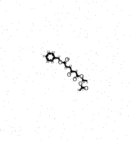 CC(=O)OC(C)OC(=O)CC(=O)CCC(=O)OCc1ccccc1